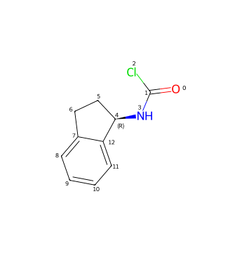 O=C(Cl)N[C@@H]1CCc2ccccc21